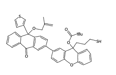 C=C(C)COC1(c2ccsc2)c2ccccc2C(=O)c2cc(-c3ccc4c(c3)C(CCCS)(OC(=O)C(C)(C)C)c3ccccc3O4)ccc21